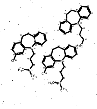 CN(C)CCCN1c2ccccc2CCc2ccc(Cl)cc21.CN(C)CCCN1c2ccccc2CCc2ccc(Cl)cc21.CNCCCN1c2ccccc2CCc2ccccc21